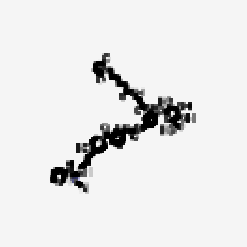 N#C/N=C(\NCCCCC1(O)CCN(C(=O)c2cccc(NC(=O)OCc3ccc(O[C@@H]4O[C@H](C(=O)O)[C@@H](O)[C@H](O)[C@H]4O)c(NC(=O)CCNC(=O)CCCCCN4C(=O)C=CC4=O)c3)c2)CC1)Nc1cccnc1